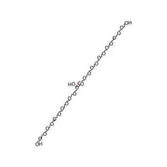 CC(=O)O.OCCOCCOCCOCCOCCOCCOCCOCCOCCOCCOCCOCCOCCOCCOCCOCCOCCOCCOCCOCCOCCOCCOCCOCCO